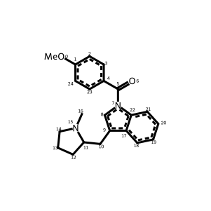 COc1ccc(C(=O)n2cc(CC3CCCN3C)c3ccccc32)cc1